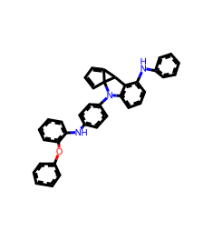 C1=CC23C(=C1)C2c1c(Nc2ccccc2)cccc1N3c1ccc(Nc2ccccc2Oc2ccccc2)cc1